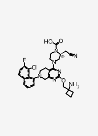 N#CC[C@H]1CN(c2nc(OCC3(N)CCC3)nc3c2CCN(c2cccc4ccc(F)c(Cl)c24)C3)CCN1C(=O)O